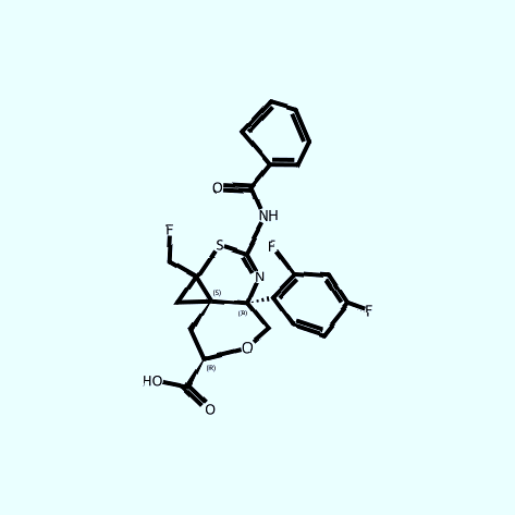 O=C(NC1=N[C@@]2(c3ccc(F)cc3F)CO[C@@H](C(=O)O)C[C@]23CC3(CF)S1)c1ccccc1